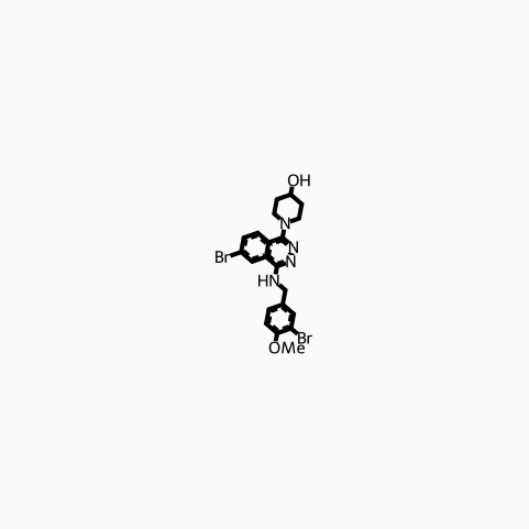 COc1ccc(CNc2nnc(N3CCC(O)CC3)c3ccc(Br)cc23)cc1Br